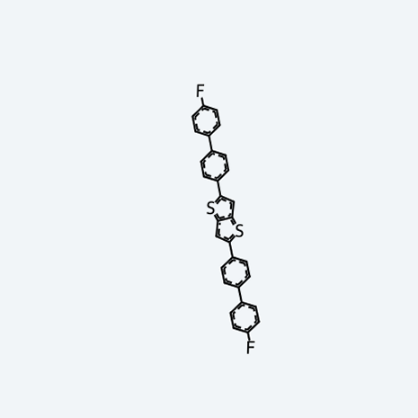 Fc1ccc(-c2ccc(-c3cc4sc(-c5ccc(-c6ccc(F)cc6)cc5)cc4s3)cc2)cc1